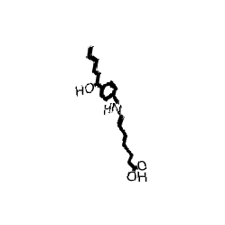 CCCCCC(O)c1ccc(CNCCCCCCC(=O)O)cc1